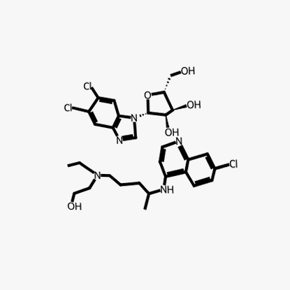 CCN(CCO)CCCC(C)Nc1ccnc2cc(Cl)ccc12.OC[C@H]1O[C@@H](n2cnc3cc(Cl)c(Cl)cc32)[C@H](O)[C@@H]1O